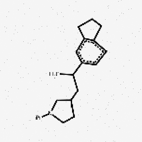 CC(CC1CCN(C(C)C)C1)c1ccc2c(c1)CCC2